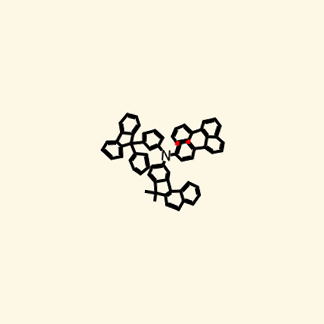 CC1(C)c2ccc(N(c3ccc(-c4cccc5cccc(-c6ccccc6)c45)cc3)c3cccc(C4(c5ccccc5)c5ccccc5-c5ccccc54)c3)cc2-c2c1ccc1ccccc21